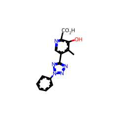 Cc1c(-c2nnn(-c3ccccc3)n2)cnc(C(=O)O)c1O